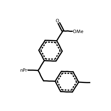 CCCC(Cc1ccc(C)cc1)c1ccc(C(=O)OC)cc1